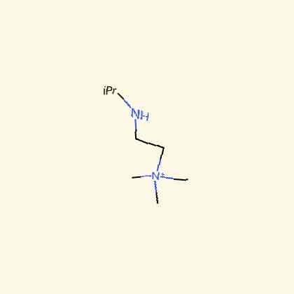 CC(C)NCC[N+](C)(C)C